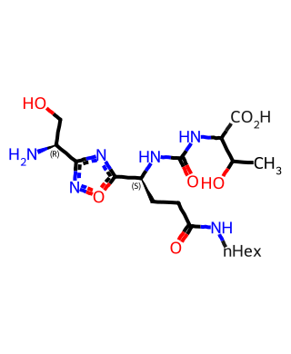 CCCCCCNC(=O)CC[C@H](NC(=O)NC(C(=O)O)C(C)O)c1nc([C@@H](N)CO)no1